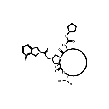 O=C(N[C@H]1CCCCCCCCC[C@H](B(O)O)NC(=O)[C@@H]2C[C@@H](OC(=O)N3Cc4cccc(F)c4C3)CN2C1=O)OC1CCCC1